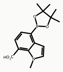 Cn1ccc2c(B3OC(C)(C)C(C)(C)O3)ccc(C(=O)O)c21